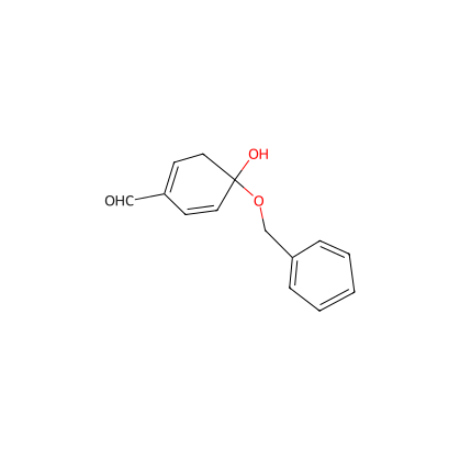 O=CC1=CCC(O)(OCc2ccccc2)C=C1